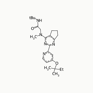 CCC(C)(C)Oc1ccnc(-c2nc3c(c(N(C)CC(=O)NC(C)(C)C)n2)CCC3)c1